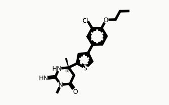 CCCOc1ccc(-c2csc([C@]3(C)CC(=O)N(C)C(=N)N3)c2)cc1Cl